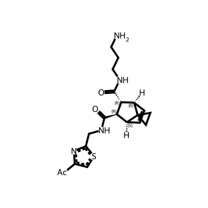 CC(=O)c1csc(CNC(=O)[C@H]2[C@H](C(=O)NCCCN)[C@H]3C=C[C@@H]2C32CC2)n1